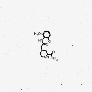 Cc1cccc(Cl)c1NC(=O)CN1CCNC(C(N)=O)C1